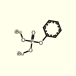 CCC(C)OP(=O)(Oc1ccccc1)OC(C)CC